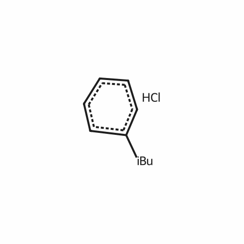 CCC(C)c1ccccc1.Cl